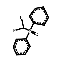 O=P(c1ccccc1)(c1ccccc1)C(F)F